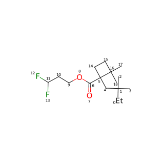 CCC(C)(C)CC1(C(=O)OCCC(F)F)CCC1(C)C